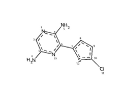 Nc1cnc(N)c(-c2ccc(Cl)s2)n1